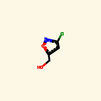 OCc1cc(Cl)no1